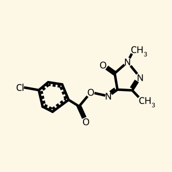 CC1=NN(C)C(=O)C1=NOC(=O)c1ccc(Cl)cc1